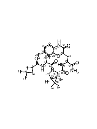 CC(C)C(NC(=O)C1CC(F)(F)C1)C(=O)N1C[C@H]2[C@@H]([C@H]1C(=O)NC(CC1Oc3cc(F)ccc3NC1=O)C(N)=O)C2(C)C